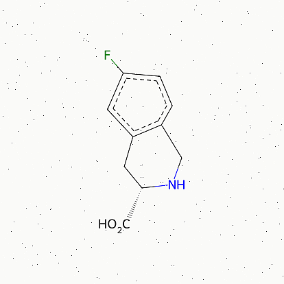 O=C(O)[C@@H]1Cc2cc(F)ccc2CN1